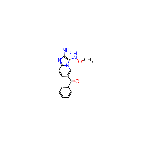 CONc1c(N)nc2ccc(C(=O)c3ccccc3)cn12